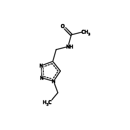 CCn1cc(CNC(C)=O)nn1